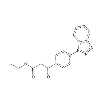 CCOC(=O)CC(=O)c1ccc(-n2nnc3ccccc32)cc1